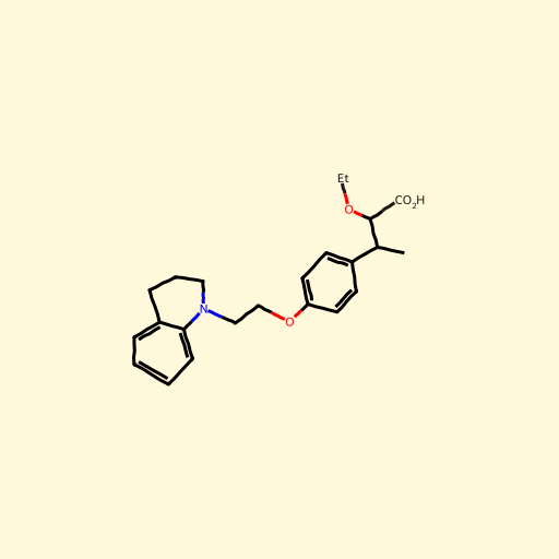 CCOC(C(=O)O)C(C)c1ccc(OCCN2CCCc3ccccc32)cc1